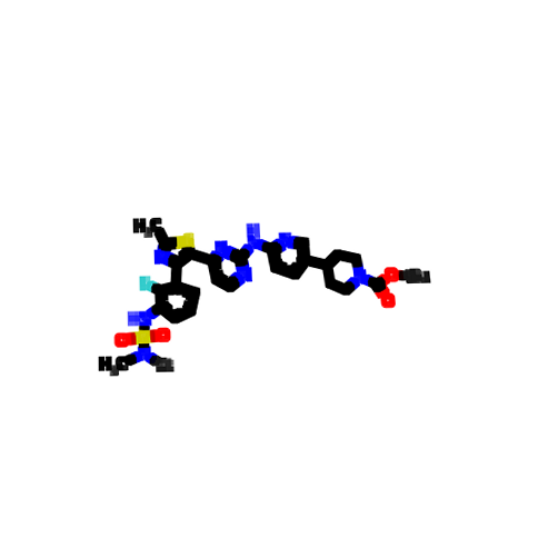 CCN(C)S(=O)(=O)Nc1cccc(-c2nc(C)sc2-c2ccnc(Nc3ccc(C4CCN(C(=O)OC(C)(C)C)CC4)cn3)n2)c1F